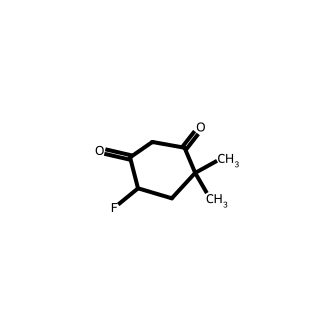 CC1(C)CC(F)C(=O)CC1=O